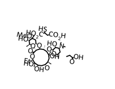 CCC(=O)O.CC[C@H]1OC(=O)[C@H](C)[C@@H](O[C@H]2C[C@@](C)(OC)[C@@H](O)[C@H](C)O2)[C@H](C)[C@@H](O[C@@H]2O[C@H](C)C[C@H](N(C)C)[C@H]2O)[C@](C)(O)C[C@@H](C)C(=O)[C@H](C)[C@@H](O)[C@]1(C)O.O=C(O)CC(S)C(=O)O